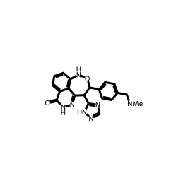 CNCc1ccc(C2ONc3cccc4c(=O)[nH]nc(c34)C2c2ncn[nH]2)cc1